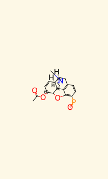 CC(=O)O[C@H]1C=C[C@H]2[C@H]3Cc4ccc(P=O)c5c4[C@@]2(CCN3C)C1O5